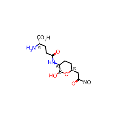 N[C@@H](CCC(=O)N[C@H]1CC[C@@H](CC(=O)N=O)OB1O)C(=O)O